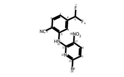 N#Cc1ccc(C(F)F)cc1Nc1nc(Br)ccc1[N+](=O)[O-]